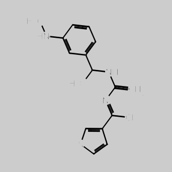 C=C(/N=C(\C)c1ccsc1)NC(C)c1cccc(NC)c1